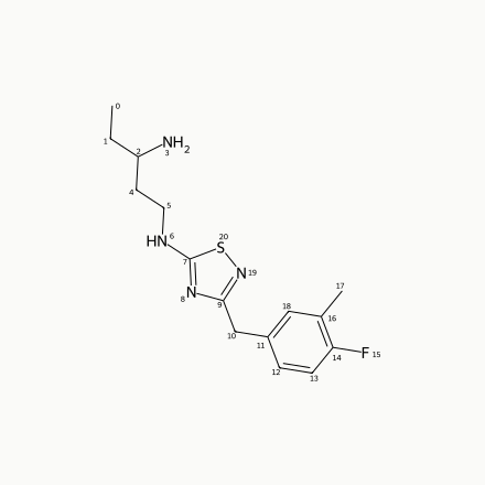 CCC(N)CCNc1nc(Cc2ccc(F)c(C)c2)ns1